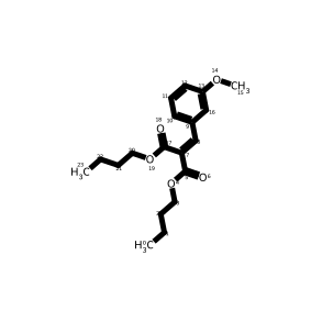 CCCCOC(=O)C(=Cc1cc[c]c(OC)c1)C(=O)OCCCC